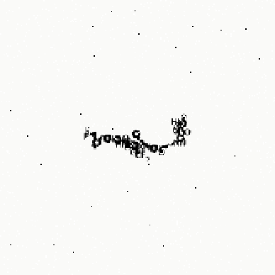 CC1(C)CCC(CN2CCN(c3ccc(C(=O)NS(=O)(=O)c4ccc(NC(CCN5CCN(C(=O)CCCCCNc6ccc7c(c6)C(=O)N(C6CCC(=O)NC6=O)C7=O)CC5)CSc5ccccc5)c(S(=O)(=O)C(F)(F)F)c4)cc3)CC2)=C(C2CC2C(F)F)C1